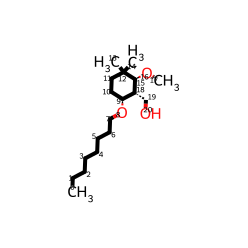 CCCCCCCCO[C@@H]1CCC(C)(C)[C@H](OC)[C@@H]1CO